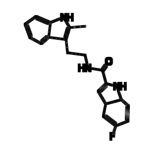 Cc1[nH]c2ccccc2c1CCNC(=O)C1=CC2C=C(F)C=CC2N1